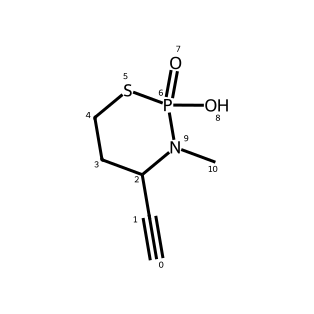 C#CC1CCSP(=O)(O)N1C